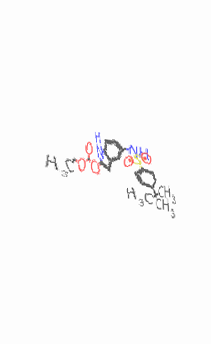 CCOC(=O)Oc1cc2cc(NS(=O)(=O)c3ccc(C(C)(C)C)cc3)ccc2[nH]1